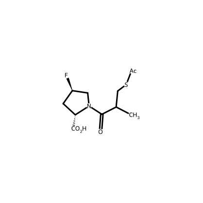 CC(=O)SCC(C)C(=O)N1C[C@H](F)C[C@H]1C(=O)O